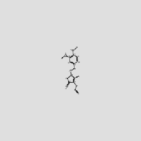 C=CCC1=C(C)C(OCc2ccc(OC)c(OC)c2)CC1=O